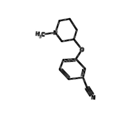 CN1CCCC(Oc2cccc(C#N)c2)C1